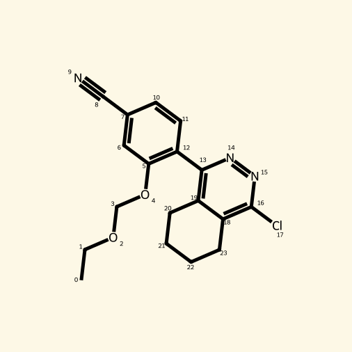 CCOCOc1cc(C#N)ccc1-c1nnc(Cl)c2c1CCCC2